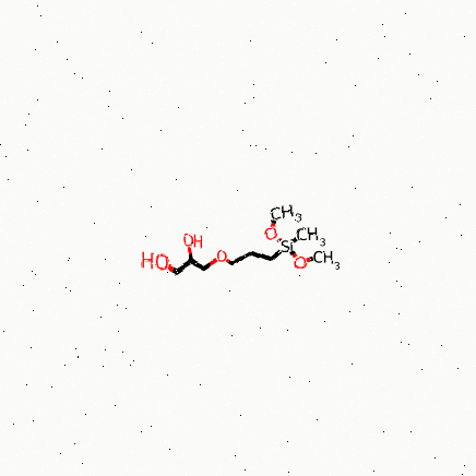 CO[Si](C)(CCCOCC(O)CO)OC